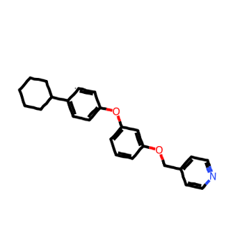 [c]1cc(Oc2cccc(OCc3ccncc3)c2)ccc1C1CCCCC1